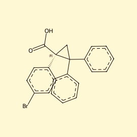 O=C(O)[C@@]1(c2ccc(Br)cc2)CC1(c1ccccc1)c1ccccc1